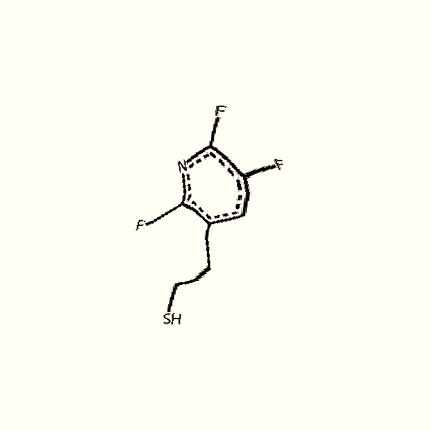 Fc1cc(CCS)c(F)nc1F